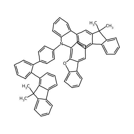 CC1(C)c2ccccc2-c2ccc(-c3ccccc3N(c3ccc(-c4ccccc4-c4cccc5c4C(C)(C)c4ccccc4-5)cc3)c3cccc4c3oc3ccccc34)cc21